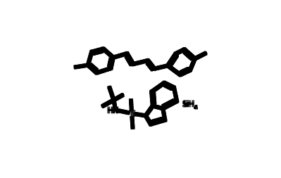 CC(C)(C)[NH][Ti]([CH3])([CH3])[CH]1C=Cc2ccccc21.Cc1ccc(C=CC=Cc2ccc(C)cc2)cc1.[SiH4]